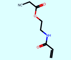 C=CC(=O)NCCOC(=O)CC#N